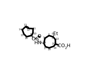 CC[C@H]1CC[C@@H](NS(=O)O[C@@H]2CC/C=C/CCC2)CCCC(C(=O)O)C1